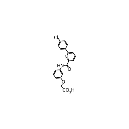 O=C(O)COc1cccc(NC(=O)c2cccc(-c3ccc(Cl)cc3)n2)c1